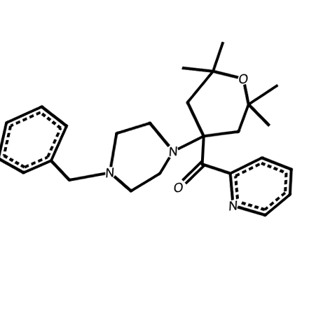 CC1(C)CC(C(=O)c2ccccn2)(N2CCN(Cc3ccccc3)CC2)CC(C)(C)O1